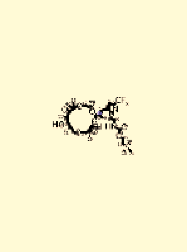 C/C(=C\c1cc(C(F)(F)F)nn1CCNC(=O)OCCS(C)(C)C)[C@@H]1C[C@@H]2O[C@]2(C)CCC[C@H](C)[C@H](O)[C@@H](C)C(=O)C(C)(C)CCC(=O)O1